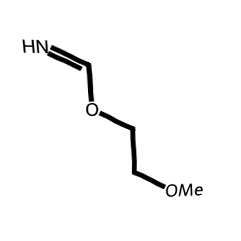 COCCOC=N